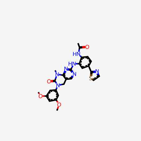 COc1cc(OC)cc(N2Cc3cnc(Nc4cc(-c5nccs5)ccc4NC(C)=O)nc3N(C)C2=O)c1